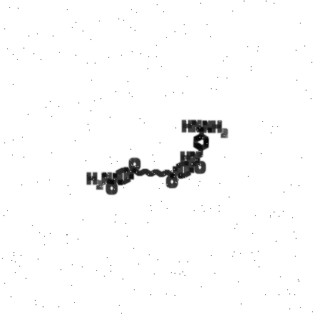 N=C(N)c1ccc(CNC(=O)N2CCN(C(=O)CCCCCCC(=O)N3CCN(C(N)=O)CC3)CC2)cc1